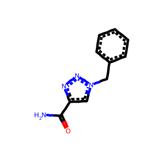 NC(=O)c1cn(Cc2ccccc2)nn1